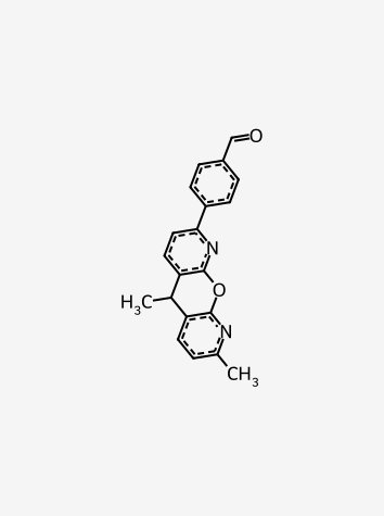 Cc1ccc2c(n1)Oc1nc(-c3ccc(C=O)cc3)ccc1C2C